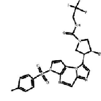 CC[C@@H]1CN(C(=O)NCC(C)(F)F)C[C@@H]1c1cnc2cnc3c(ccn3S(=O)(=O)c3ccc(C)cc3)n12